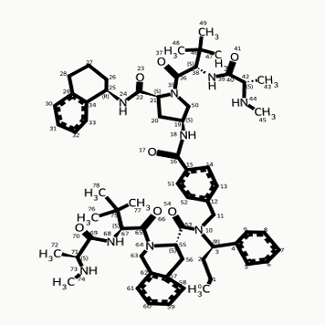 CCC[C@H](c1ccccc1)N(Cc1ccc(C(=O)N[C@H]2C[C@@H](C(=O)N[C@@H]3CCCc4ccccc43)N(C(=O)[C@@H](NC(=O)[C@H](C)NC)C(C)(C)C)C2)cc1)C(=O)[C@@H]1Cc2ccccc2CN1C(=O)[C@@H](NC(=O)[C@H](C)NC)C(C)(C)C